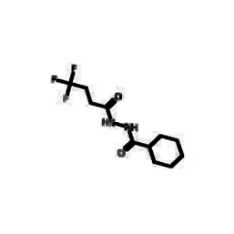 O=C(CCC(F)(F)F)NNC(=O)C1CCCCC1